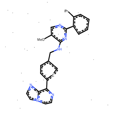 COc1cnc(-c2ccccc2C(C)C)nc1NCc1ccc(-c2nccn3ccnc23)cc1